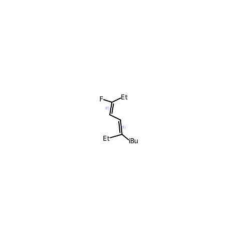 CC/C(F)=C\C=C(/CC)C(C)CC